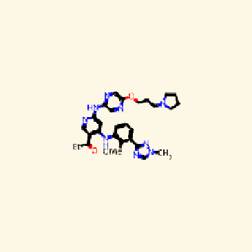 CCC(=O)c1cnc(Nc2cnc(OCCCN3CCCC3)cn2)cc1Nc1cccc(-c2ncn(C)n2)c1OC